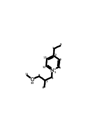 CCc1cc[n+](CC(C)COC)cc1